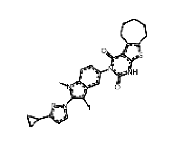 Cn1c(-n2ccc(C3CC3)n2)c(I)c2cc(-n3c(=O)[nH]c4sc5c(c4c3=O)CCCCC5)ccc21